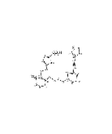 O=C(O)c1ccc(CCN2C(=O)SCCN2CCCCc2cccc(C#CC3=CSCC3)c2)s1